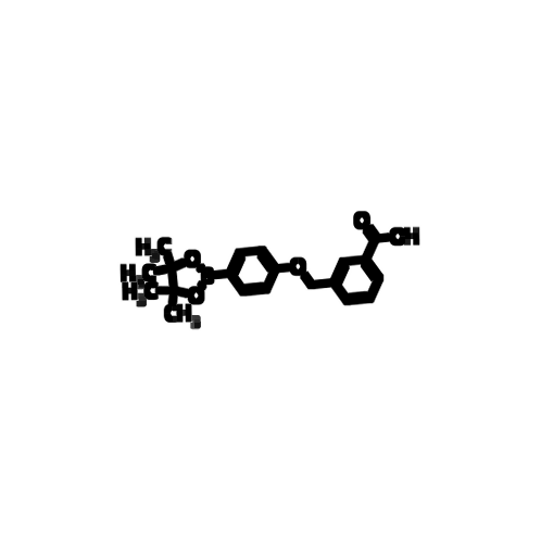 CC1(C)OB(c2ccc(OCc3cccc(C(=O)O)c3)cc2)OC1(C)C